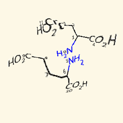 NC(CC(=O)O)C(=O)O.NC(CCC(=O)O)C(=O)O.[Cr]